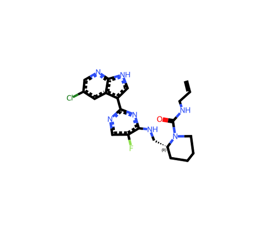 C=CCNC(=O)N1CCCC[C@@H]1CNc1nc(-c2c[nH]c3ncc(Cl)cc23)ncc1F